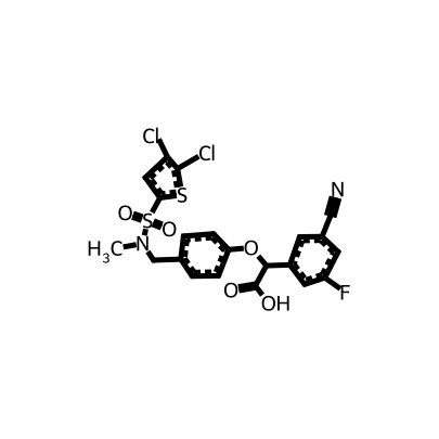 CN(Cc1ccc(OC(C(=O)O)c2cc(F)cc(C#N)c2)cc1)S(=O)(=O)c1cc(Cl)c(Cl)s1